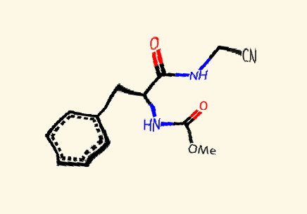 COC(=O)NC(Cc1ccccc1)C(=O)NCC#N